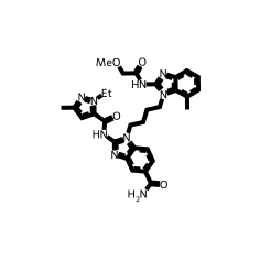 CCn1nc(C)cc1C(=O)Nc1nc2cc(C(N)=O)ccc2n1CCCCn1c(NC(=O)COC)nc2cccc(C)c21